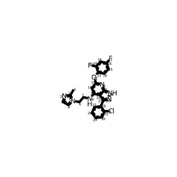 Cc1nccn1CCNc1cc(Oc2ccc(F)cc2F)nc2[nH]nc(-c3ccccc3Cl)c12